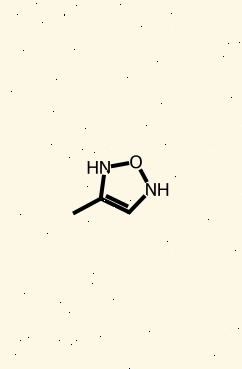 CC1=CNON1